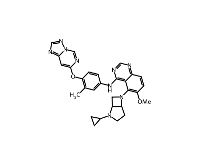 COc1ccc2ncnc(Nc3ccc(Oc4cc5ncnn5cn4)c(C)c3)c2c1N1CC2C1CCN2C1CC1